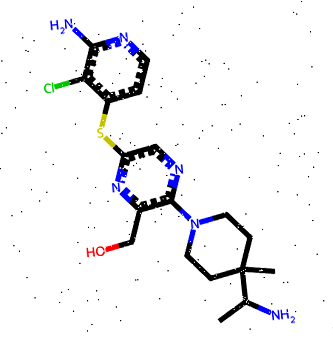 CC(N)C1(C)CCN(c2ncc(Sc3ccnc(N)c3Cl)nc2CO)CC1